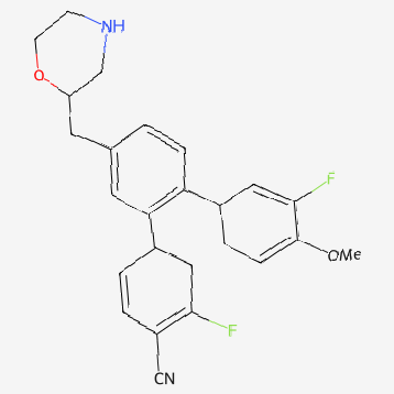 COC1=CCC(c2ccc(CC3CNCCO3)cc2C2C=CC(C#N)=C(F)C2)C=C1F